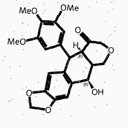 COc1cc(C2c3cc4c(cc3[C@H](O)C3COCC(=O)[C@H]23)OCO4)cc(OC)c1OC